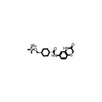 CC(C)(C)[Si](C)(C)OC[C@H]1CC[C@H](C(=O)Nc2ccc3c(c2)NC(=O)CS3)CC1